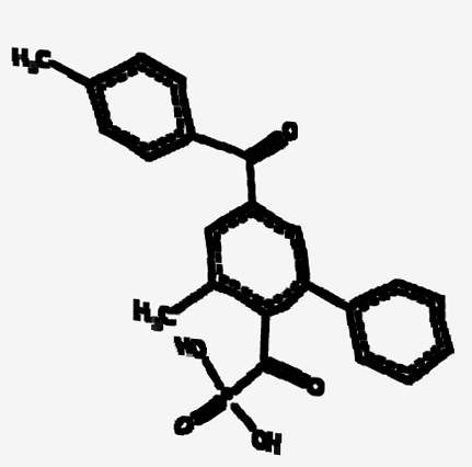 Cc1ccc(C(=O)c2cc(C)c(C(=O)P(=O)(O)O)c(-c3ccccc3)c2)cc1